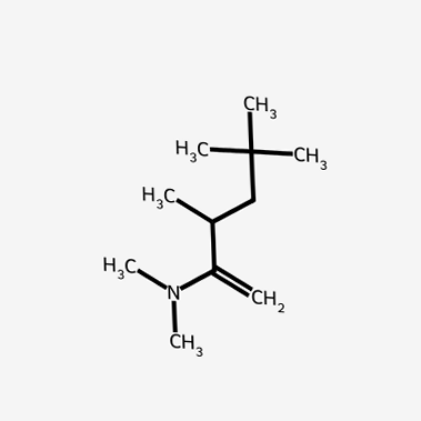 C=C(C(C)CC(C)(C)C)N(C)C